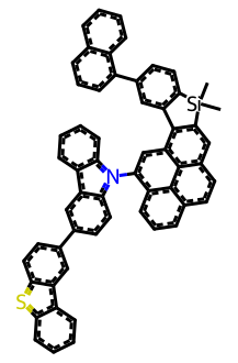 C[Si]1(C)c2ccc(-c3cccc4ccccc34)cc2-c2c1cc1ccc3cccc4c(-n5c6ccccc6c6cc(-c7ccc8sc9ccccc9c8c7)ccc65)cc2c1c34